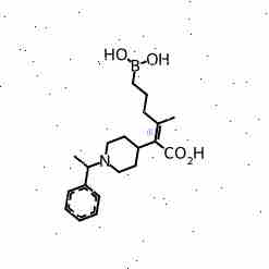 C/C(CCCB(O)O)=C(\C(=O)O)C1CCN(C(C)c2ccccc2)CC1